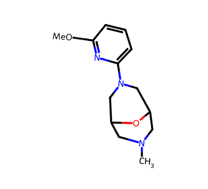 COc1cccc(N2CC3CN(C)CC(C2)O3)n1